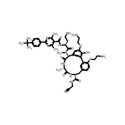 Cc1nc(-c2ccc(C(C)(C)C)cc2)nc(C)c1C(=O)N[C@@H](CCN)C(=O)N(C)[C@@H]1C(=O)N[C@@H](C)C(=O)N[C@H](C(=O)NCC#N)Cc2ccc(OCCN)c(c2)-c2cc1cc(OCCN)c2O